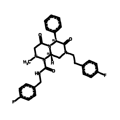 CN1CC(=O)N2[C@@H](c3ccccc3)C(=O)N(CCc3ccc(F)cc3)C[C@@H]2N1C(=O)NCc1ccc(F)cc1